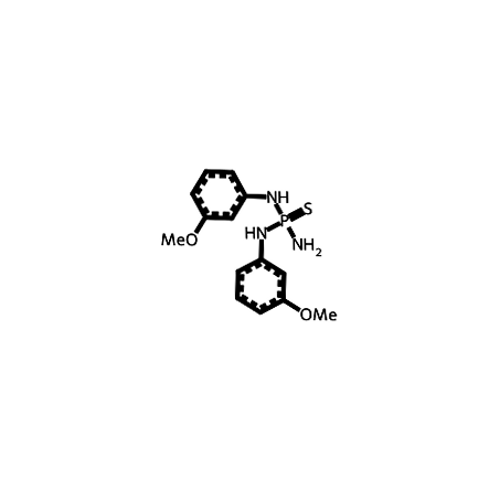 COc1cccc(NP(N)(=S)Nc2cccc(OC)c2)c1